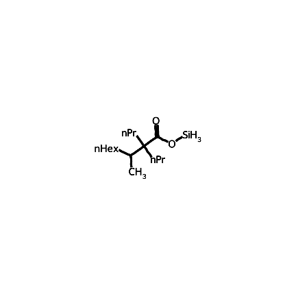 CCCCCCC(C)C(CCC)(CCC)C(=O)O[SiH3]